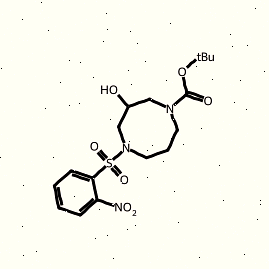 CC(C)(C)OC(=O)N1CCCN(S(=O)(=O)c2ccccc2[N+](=O)[O-])CC(O)C1